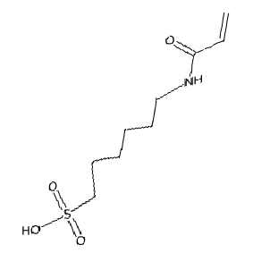 C=CC(=O)NCCCCCCS(=O)(=O)O